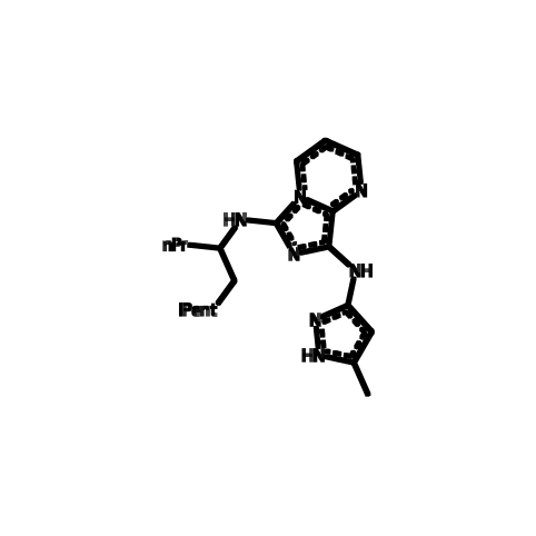 CCCC(C)CC(CCC)Nc1nc(Nc2cc(C)[nH]n2)c2ncccn12